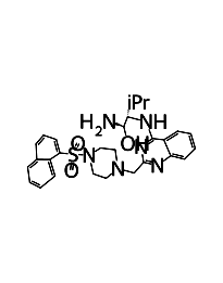 CC(C)[C@H](Nc1nc(CN2CCN(S(=O)(=O)c3cccc4ccccc34)CC2)nc2ccccc12)[C@H](N)O